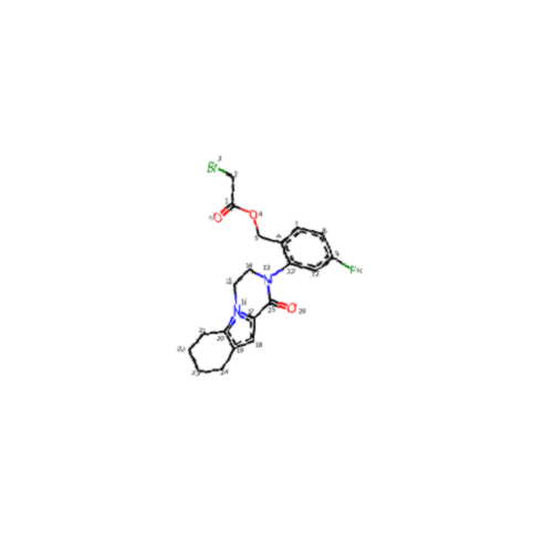 O=C(CBr)OCc1ccc(F)cc1N1CCn2c(cc3c2CCCC3)C1=O